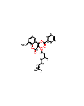 CC(=O)Oc1cccc2c(OC(=O)c3ccccc3)c(OCC=C(C)CCC=C(C)C)c(=O)oc12